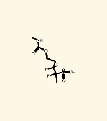 CNC(=O)OCCC(F)(F)C(F)(F)S(=O)(=O)O